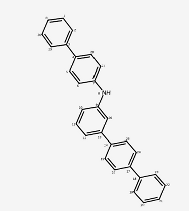 c1ccc(-c2ccc(Nc3cccc(-c4ccc(-c5ccccc5)cc4)c3)cc2)cc1